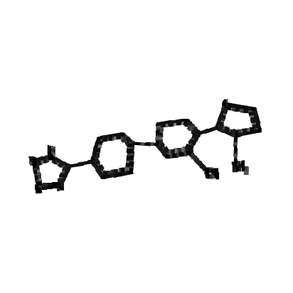 N#Cc1cc(-c2ccc(-c3nnn[nH]3)cc2)ccc1-c1sccc1N